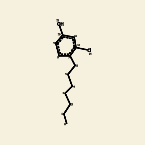 CCCCCCCc1ccc(O)cc1Cl